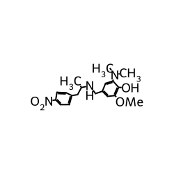 COc1cc(CNC(C)Cc2ccc([N+](=O)[O-])cc2)cc(N(C)C)c1O